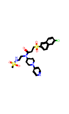 CS(=O)(=O)NCCN(C(=O)CCS(=O)(=O)c1ccc2cc(Cl)ccc2c1)C1CCN(c2ccncc2)CC1